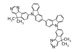 CC1(C)c2ccc(-n3c4ccccc4c4cc(-c5ccc6c(c5)c5ccccc5n6-c5ccc6c(c5)-c5ncncc5C6(C)C)ccc43)cc2-c2ncncc21